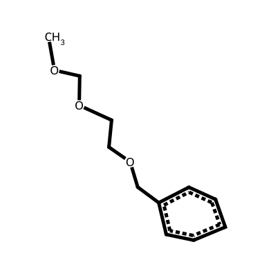 COCOCCOCc1ccccc1